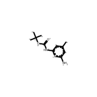 Cc1cc(N)nc(NC(=O)OC(C)(C)C)c1